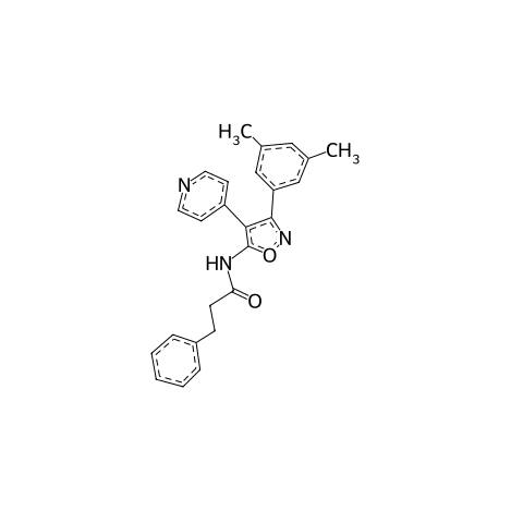 Cc1cc(C)cc(-c2noc(NC(=O)CCc3ccccc3)c2-c2ccncc2)c1